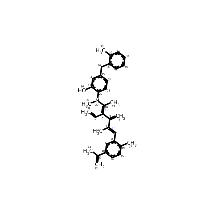 C=C/C(C(=C)/C(C)=C/c1cc(C(=C)C)ccc1C)=C(/C)N(C)c1ccc(Cc2ccccc2C)cc1O